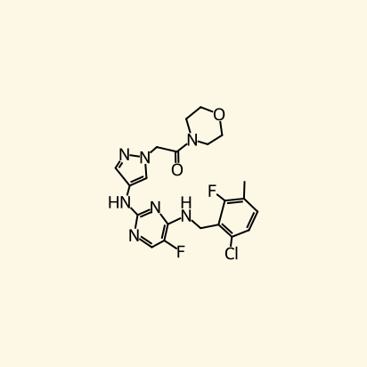 Cc1ccc(Cl)c(CNc2nc(Nc3cnn(CC(=O)N4CCOCC4)c3)ncc2F)c1F